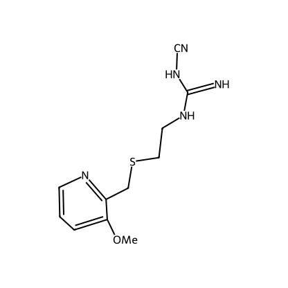 COc1cccnc1CSCCNC(=N)NC#N